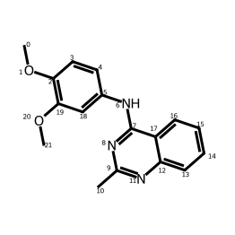 COc1ccc(Nc2nc(C)nc3ccccc23)cc1OC